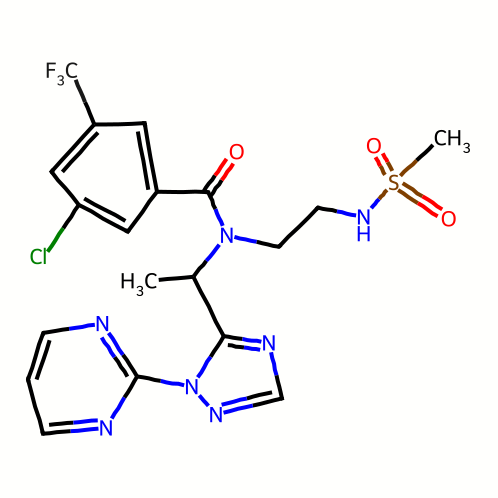 CC(c1ncnn1-c1ncccn1)N(CCNS(C)(=O)=O)C(=O)c1cc(Cl)cc(C(F)(F)F)c1